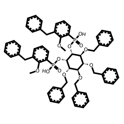 COc1c(Cc2ccccc2)cccc1P(=O)(O)O[C@@H]1[C@@H](OCc2ccccc2)[C@H](OCc2ccccc2)[C@@H](OCc2ccccc2)[C@H](OCc2ccccc2)[C@@H]1OP(=O)(O)c1cccc(Cc2ccccc2)c1OC